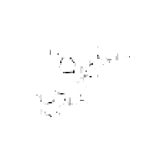 CCCCCCOC(=O)C(C)(C)NP(=O)(COC(C)Cn1cnc2c(N)ncnc21)Oc1ccc(Cl)cc1